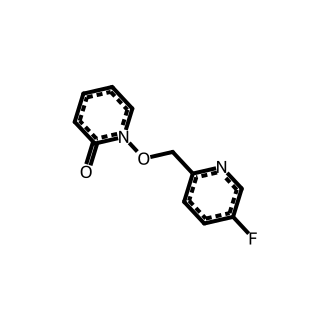 O=c1ccccn1OCc1ccc(F)cn1